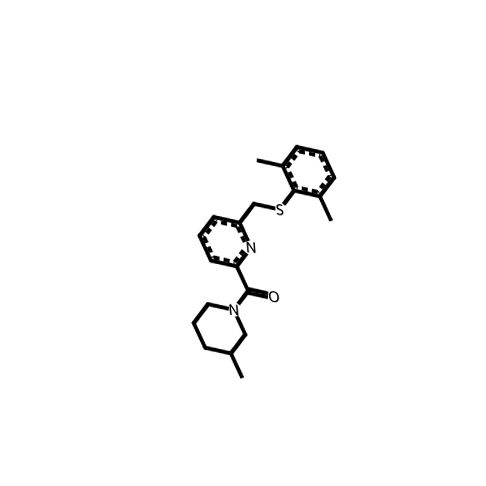 Cc1cccc(C)c1SCc1cccc(C(=O)N2CCCC(C)C2)n1